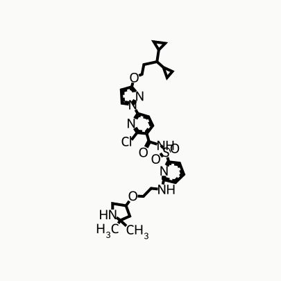 CC1(C)CC(OCCNc2cccc(S(=O)(=O)NC(=O)c3ccc(-n4ccc(OCCC(C5CC5)C5CC5)n4)nc3Cl)n2)CN1